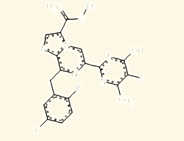 C=C(OCC)c1cnc2c(Cc3cc(F)ccc3F)nc(-c3nc(C)c(F)c(O)n3)cn12